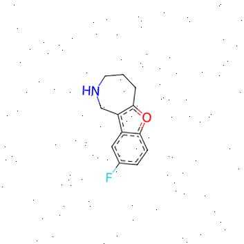 Fc1ccc2oc3c(c2c1)CNCCC3